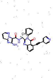 C[C@@H](NC(=O)c1c(N)nc2cccnn12)c1nc2cccc(C#Cc3ccncc3)c2c(=O)n1-c1ccccc1